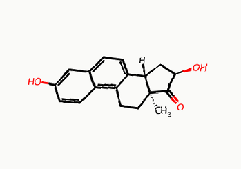 C[C@]12CCc3c(ccc4cc(O)ccc34)[C@@H]1C[C@@H](O)C2=O